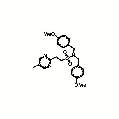 COc1ccc(CN(Cc2ccc(OC)cc2)S(=O)(=O)CCc2ncc(C)cn2)cc1